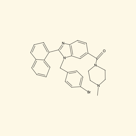 CN1CCN(C(=O)c2ccc3nc(-c4cccc5ccccc45)n(Cc4ccc(Br)cc4)c3c2)CC1